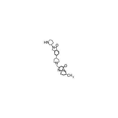 Cc1ccc2nc(CN3CCC(c4ccc5c(c4)CN(C4CCCNC4)C5=O)CC3)cc(=O)n2c1